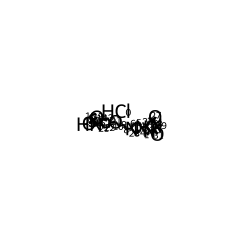 Cl.Cn1c(N2CCN(CCCOc3ccc(NS(C)(=O)=O)cc3)CC2)cc(=O)n(C)c1=O